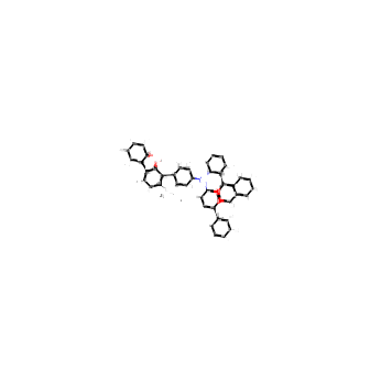 C[Si]1(C)c2cc(N(c3ccc(-c4ccccc4)cc3)c3ccccc3-c3cccc4ccccc34)ccc2-c2c1ccc1c2oc2ccccc21